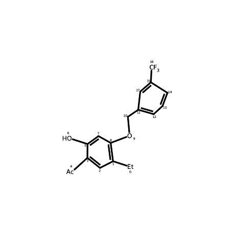 CCc1cc(C(C)=O)c(O)cc1OCc1cccc(C(F)(F)F)c1